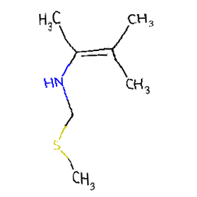 CSCNC(C)=C(C)C